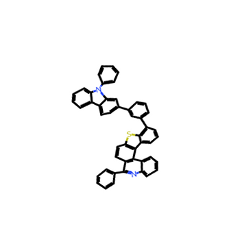 c1ccc(-c2nc3ccccc3c3c2ccc2sc4c(-c5cccc(-c6ccc7c8ccccc8n(-c8ccccc8)c7c6)c5)cccc4c23)cc1